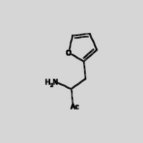 CC(=O)C(N)Cc1ccco1